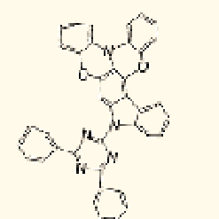 c1ccc(-c2nc(-c3ccccc3)nc(-n3c4ccccc4c4c5c6c(cc43)Oc3ccccc3N6c3ccccc3O5)n2)cc1